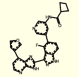 O=C(Nc1cncc(-c2ccc3[nH]nc(-c4nc5c(-c6ccoc6)ccnc5[nH]4)c3c2F)c1)C1CCC1